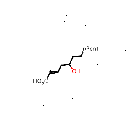 CCCCCCCC(O)C/C=C/C(=O)O